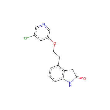 O=C1Cc2c(CCOc3cncc(Cl)c3)cccc2N1